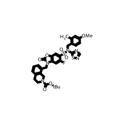 COc1ccc(CN(c2ncns2)S(=O)(=O)c2cc3oc(=O)n(Cc4cccc5c4CN(C(=O)OC(C)(C)C)CC5)c3cc2F)c(C)c1